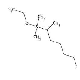 CCO[Si](C)(C)C(C)CCCCN